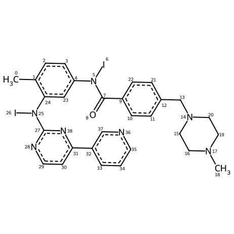 Cc1ccc(N(I)C(=O)c2ccc(CN3CCN(C)CC3)cc2)cc1N(I)c1nccc(-c2cccnc2)n1